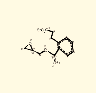 CCOC(=O)CCc1ccccc1[C@@H](C)OC[C@H]1CO1